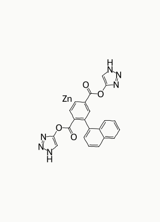 O=C(Oc1c[nH]nn1)c1ccc(C(=O)Oc2c[nH]nn2)c(-c2cccc3ccccc23)c1.[Zn]